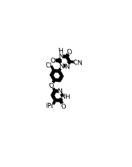 CC(C)c1cc(Oc2ccc(-n3nc(C#N)c(=O)[nH]c3=O)c(Cl)c2)n[nH]c1=O